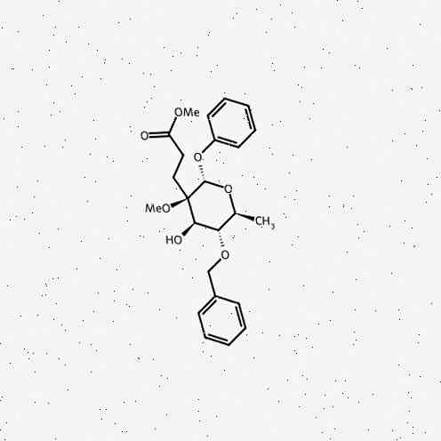 COC(=O)CC[C@]1(OC)[C@H](Oc2ccccc2)O[C@@H](C)[C@H](OCc2ccccc2)[C@H]1O